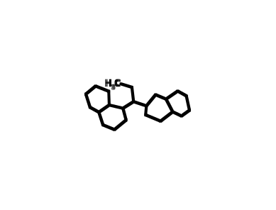 CCC(C1CCC2CCCCC2C1)C1CCCC2CCCCC21